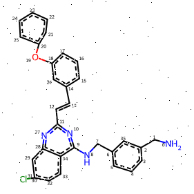 NCc1cccc(CNc2nc(C=Cc3cccc(Oc4ccccc4)c3)nc3cc(Cl)ccc23)c1